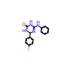 O=C1NC(Nc2ccccc2)=NC(c2ccc(F)cc2)N1